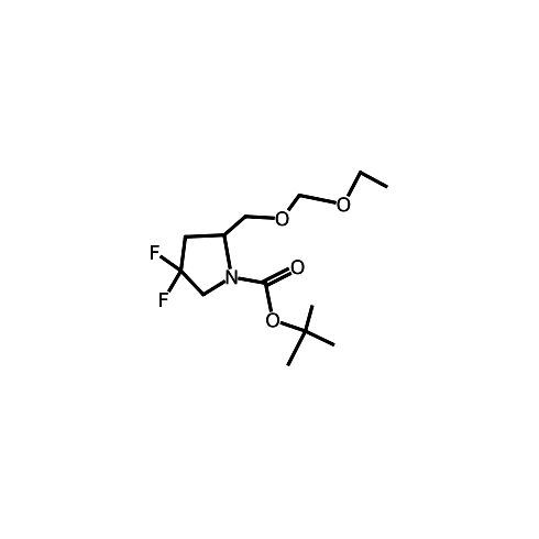 CCOCOCC1CC(F)(F)CN1C(=O)OC(C)(C)C